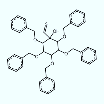 OC1(C=S)C(OCc2ccccc2)C(OCc2ccccc2)C(OCc2ccccc2)C(OCc2ccccc2)C1OCc1ccccc1